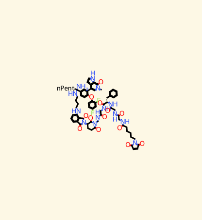 CCCCCC(N)(NCCCCNc1cccc2c1C(=O)N(C1CCC(=O)N(CNC(=O)CNC(=O)[C@H](Cc3ccccc3)NC(=O)CNC(=O)CNC(=O)CCCCCN3C(=O)C=CC3=O)C1=O)C2=O)c1ccc(Oc2ccc(F)cc2F)c(-c2cn(C)c(=O)c3[nH]ccc23)c1